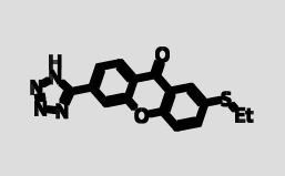 CCSc1ccc2oc3cc(-c4nnn[nH]4)ccc3c(=O)c2c1